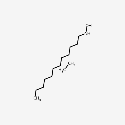 CC.CCCCCCCCCCCCNO